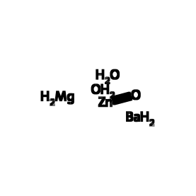 O.O.[BaH2].[MgH2].[O]=[Zn]